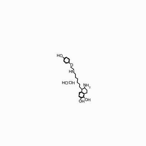 Cl.Cl.NC1CCc2c(ccc(O)c2O)C1CCCCCCNCCOc1ccc(O)cc1